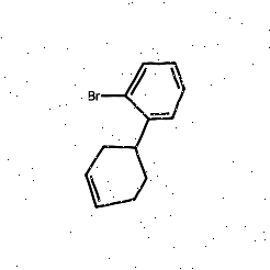 Brc1ccccc1C1CC=CCC1